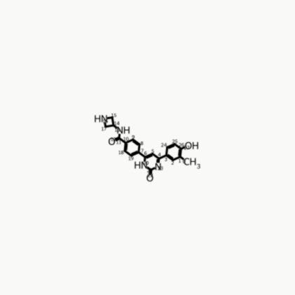 Cc1cc(-c2cc(-c3ccc(C(=O)NC4CNC4)cc3)[nH]c(=O)n2)ccc1O